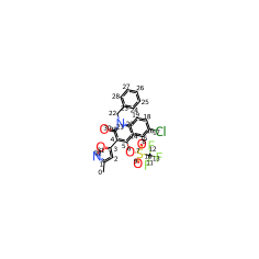 Cc1cc(-c2c(OS(=O)(=O)C(F)(F)F)c3cc(Cl)ccc3n(Cc3ccccc3)c2=O)on1